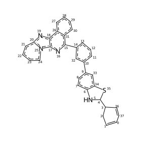 C1=CCC(C2Nc3ccc(-c4cccc(-c5nc6c(nc7ccccn76)c6ccccc56)c4)cc3S2)C=C1